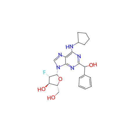 OC[C@H]1O[C@@H](n2cnc3c(NC4CCCC4)nc(C(O)c4ccccc4)nc32)[C@@H](F)[C@@H]1O